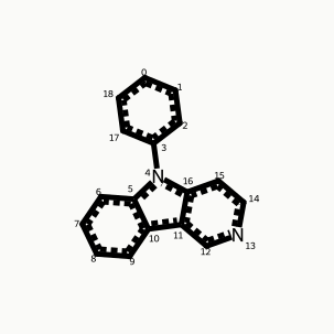 [c]1ccc(-n2c3ccccc3c3cnccc32)cc1